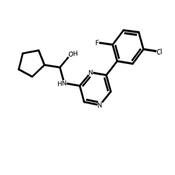 OC(Nc1cncc(-c2cc(Cl)ccc2F)n1)C1CCCC1